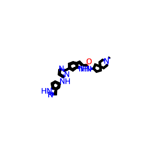 CN1CCC2(CCC(NC(=O)c3cc4ccc(-c5nccc(Nc6ccc7[nH]ncc7c6)n5)cc4[nH]3)C2)CC1